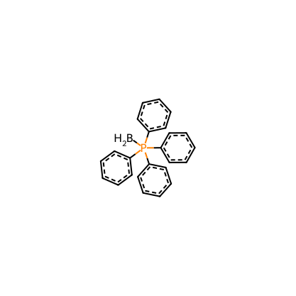 BP(c1ccccc1)(c1ccccc1)(c1ccccc1)c1ccccc1